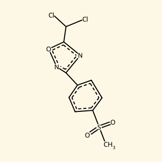 CS(=O)(=O)c1ccc(-c2noc(C(Cl)Cl)n2)cc1